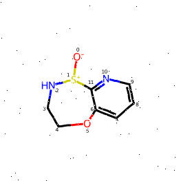 [O-][S+]1NCCOc2cccnc21